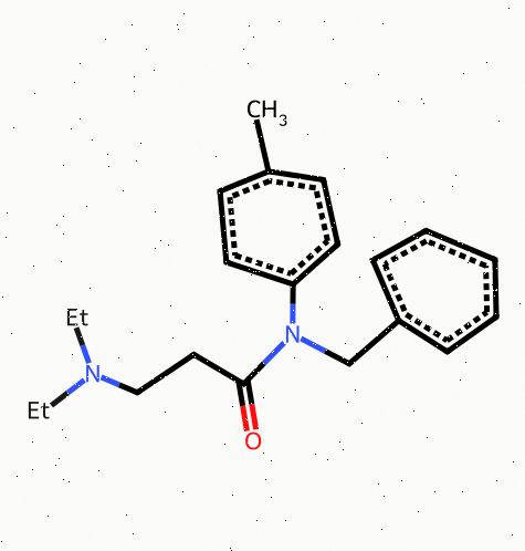 CCN(CC)CCC(=O)N(Cc1ccccc1)c1ccc(C)cc1